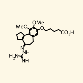 COc1c(OCCCCC(=O)O)cc2c(c1OC)C1=C(CCC1)C(=NNC(=N)N)CC2